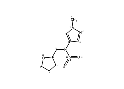 Cn1cc(N(CC2CCCO2)[SH](=O)=O)cn1